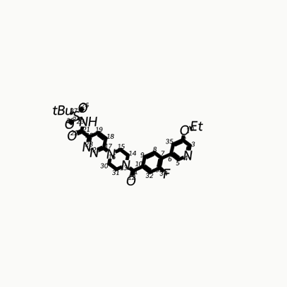 CCOc1cncc(-c2ccc(C(=O)N3CCN(c4ccc(C(=O)NS(=O)(=O)C(C)(C)C)nn4)CC3)cc2F)c1